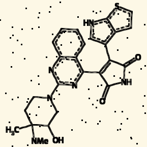 CNC1(C)CCN(c2nc(C3=C(c4c[nH]c5sccc45)C(=O)NC3=O)c3ccccc3n2)CC1O